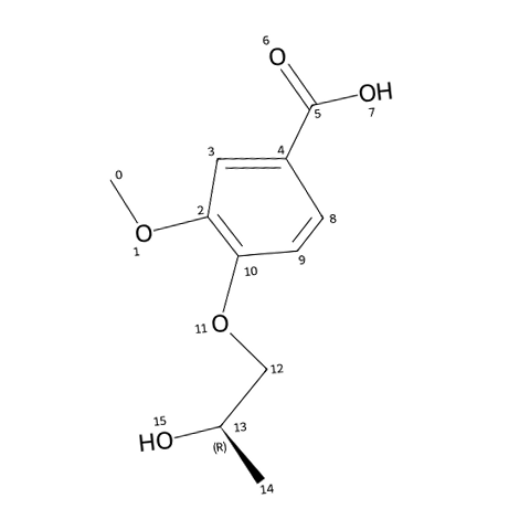 COc1cc(C(=O)O)ccc1OC[C@@H](C)O